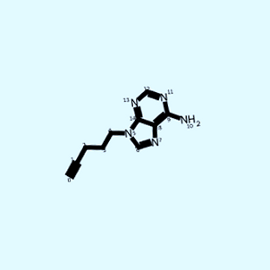 C#CCCCn1[c]nc2c(N)ncnc21